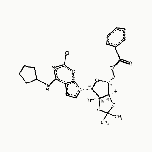 CC1(C)O[C@@H]2[C@H](O1)[C@@H](COC(=O)c1ccccc1)O[C@H]2n1ccc2c(NC3CCCC3)nc(Cl)nc21